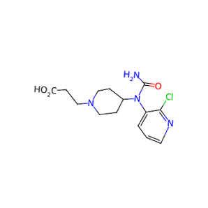 NC(=O)N(c1cccnc1Cl)C1CCN(CCC(=O)O)CC1